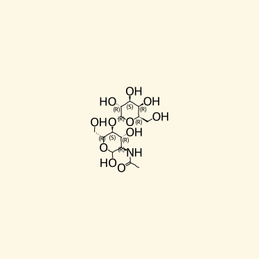 CC(=O)N[C@H]1C(O)O[C@H](CO)[C@@H](O[C@H]2O[C@H](CO)[C@H](O)[C@H](O)[C@H]2O)[C@@H]1O